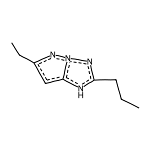 CCCc1nn2nc(CC)cc2[nH]1